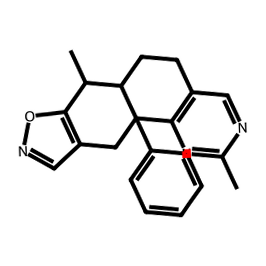 Cc1ncc2c(n1)C1(c3ccccc3)Cc3cnoc3C(C)C1CC2